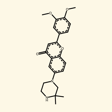 COc1ccc(-c2cc(=O)c3cc(N4CCNC(C)(C)C4)ccc3o2)cc1OC